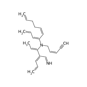 C#C/C=C\CN(C(=C\C)/C(C=N)=C/C=C)C(/C=C\CCC=C)=C/C=C